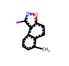 Cc1cccc2c1ccc1onc(I)c12